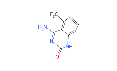 Nc1nc(=O)[nH]c2cccc(C(F)(F)F)c12